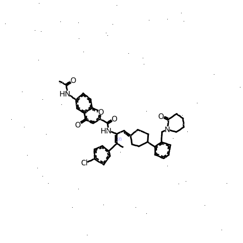 CC(=O)Nc1ccc2oc(C(=O)N/C(C=C3CCC(c4ccccc4CN4CCCCC4=O)CC3)=C(/C)c3ccc(Cl)cc3)cc(=O)c2c1